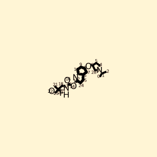 CC(C)N1CCC(Oc2ccc3nc(OC(=O)NCC4(F)COC4)ccc3c2)C1